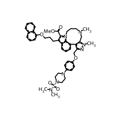 COC(=O)c1c(CCCOc2cccc3ccccc23)c2cccc3c2n1CCCN(C)Cc1c-3c(COc2ccc(N3CCN(S(=O)(=O)N(C)C)CC3)cc2)nn1C